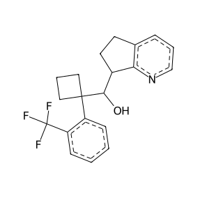 OC(C1CCc2cccnc21)C1(c2ccccc2C(F)(F)F)CCC1